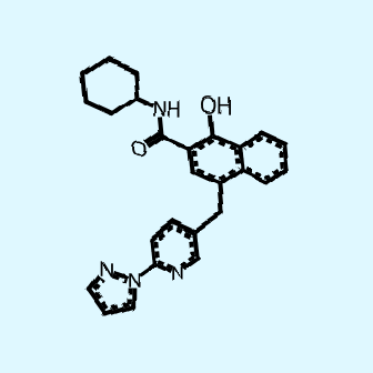 O=C(NC1CCCCC1)c1cc(Cc2ccc(-n3cccn3)nc2)c2ccccc2c1O